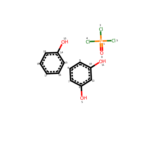 O=P(Cl)(Cl)Cl.Oc1cccc(O)c1.Oc1ccccc1